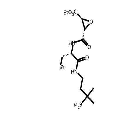 BC(C)(C)CCNC(=O)[C@H](CC(C)C)NC(=O)[C@H]1O[C@@H]1C(=O)OCC